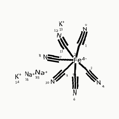 N#[C][Fe-4]([C]#N)([C]#N)([C]#N)([C]#N)[C]#N.[K+].[K+].[Na+].[Na+]